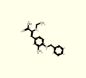 CCOC(=Cc1ccc(OCc2ccccc2)c(C)c1)C(=O)O